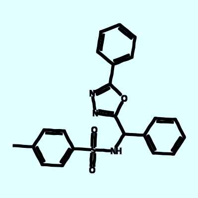 Cc1ccc(S(=O)(=O)NC(c2ccccc2)c2nnc(-c3ccccc3)o2)cc1